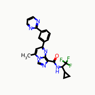 Cc1cc(-c2cccc(-c3ncccn3)c2)nc2c(C(=O)NC(C3CC3)C(F)(F)F)ncn12